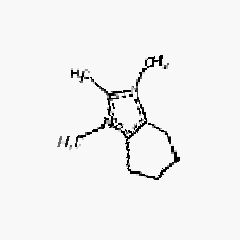 Cc1n(C)c2c([n+]1C)CCCC2